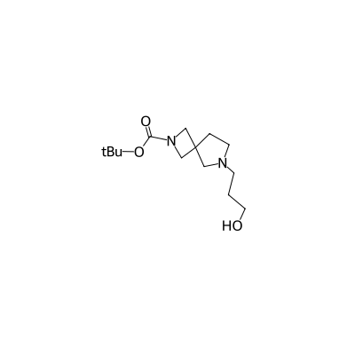 CC(C)(C)OC(=O)N1CC2(CCN(CCCO)C2)C1